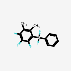 Cc1c(C)c([Si](F)(F)c2ccccc2)c(F)c(F)c1F